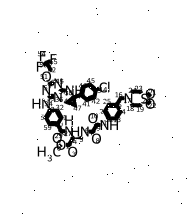 COC(=O)[C@H](CNC(=O)C(=O)Nc1ccc(CN2CCS(=O)(=O)CC2)cc1)NC(=O)c1ccc(Nc2nc(NC3(c4ccc(Cl)cc4)CC3)nc(OCC(F)(F)F)n2)cc1